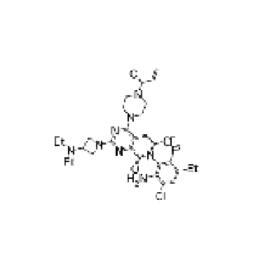 C=CC(=O)N1CCN(c2nc(N3CC(N(CC)CC)C3)nc3c(=O)n(-c4c(N)c(Cl)cc(CC)c4F)c(C(F)(F)F)cc23)CC1